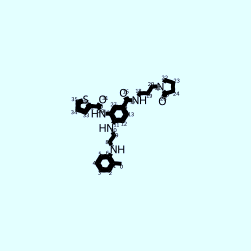 Cc1ccccc1NCCNc1ccc(C(=O)NCCCN2CCCC2=O)cc1NC(=O)c1cccs1